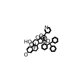 C[C@]12C=CC(=O)C=C1CCC1C3C[C@H]4OC(c5cccnc5)O[C@@]4(C(=O)COC(c4ccccc4)(c4ccccc4)c4ccccc4)[C@@]3(C)C[C@H](O)[C@@]12F